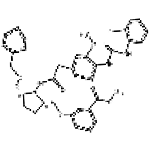 COC(=O)c1cccc(OC[C@@H]2CC[C@H](COCc3ccccc3)N2NC(=O)Cc2ccc(NC(=O)Nc3ccccc3Cl)c(OC)c2)c1